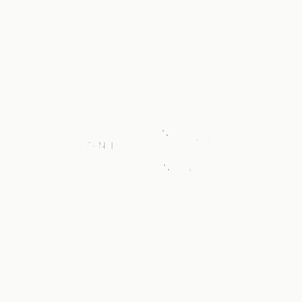 CC(=O)NCCc1ncc(F)cn1